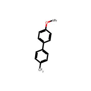 CCCOc1ccc(-c2ccc(C(F)(F)F)cc2)cc1